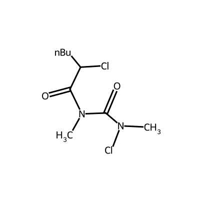 CCCCC(Cl)C(=O)N(C)C(=O)N(C)Cl